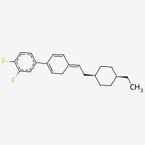 CC[C@H]1CC[C@@H](CC=C2C=CC(c3ccc(F)c(F)c3)=CC2)CC1